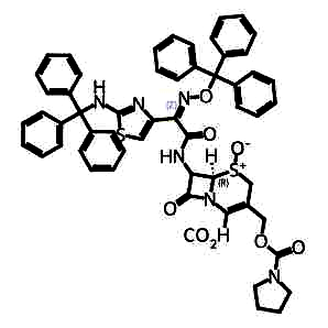 O=C(O)C1=C(COC(=O)N2CCCC2)C[S+]([O-])[C@@H]2C(NC(=O)/C(=N\OC(c3ccccc3)(c3ccccc3)c3ccccc3)c3csc(NC(c4ccccc4)(c4ccccc4)c4ccccc4)n3)C(=O)N12